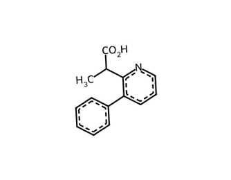 CC(C(=O)O)c1ncccc1-c1ccccc1